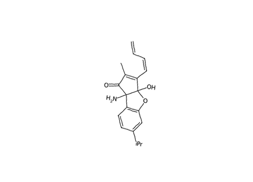 C=C/C=C\C1=C(C)C(=O)C2(N)c3ccc(C(C)C)cc3OC12O